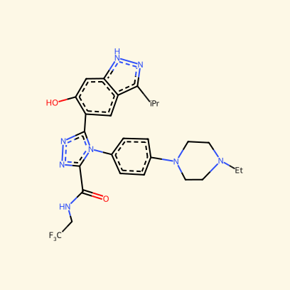 CCN1CCN(c2ccc(-n3c(C(=O)NCC(F)(F)F)nnc3-c3cc4c(C(C)C)n[nH]c4cc3O)cc2)CC1